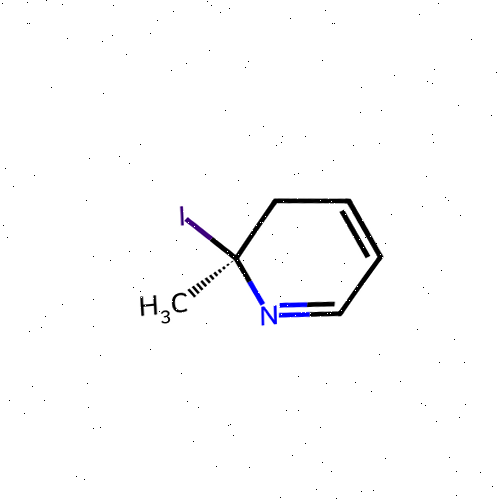 C[C@]1(I)CC=CC=N1